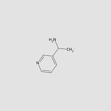 [CH2]C(N)c1cccnc1